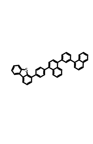 c1cc(-c2cccc3ccccc23)cc(-c2ccc(-c3ccc(-c4cccc5c4sc4ccccc45)cc3)c3ccccc23)c1